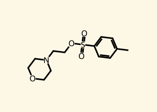 Cc1ccc(S(=O)(=O)OCCN2CCOCC2)cc1